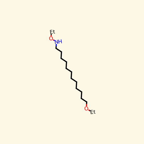 CCOCCCCCCCCCCCCNOCC